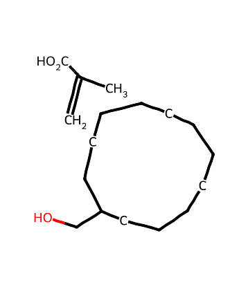 C=C(C)C(=O)O.OCC1CCCCCCCCCCC1